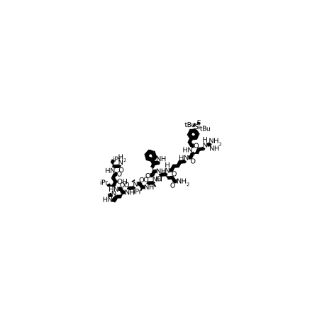 CC(C)C[C@H](NC(=O)C[C@H](O)[C@H](CC(C)C)NC(=O)[C@H](Cc1c[nH]cn1)NC(=O)CN(C)C(=O)[C@@H](NC(=O)[C@H](C)NC(=O)[C@H](Cc1c[nH]c2ccccc12)NC(=O)[C@H](CCC(N)=O)NC(=O)CCCCNC(=O)[C@H](CCCNC(=N)N)NC(=O)Cc1ccc([Si](F)(C(C)(C)C)C(C)(C)C)cc1)C(C)C)C(N)=O